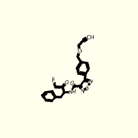 C#CCOCc1ccc(-c2nsnc2C(=O)NC(Cc2ccccc2)C(=O)CF)cc1